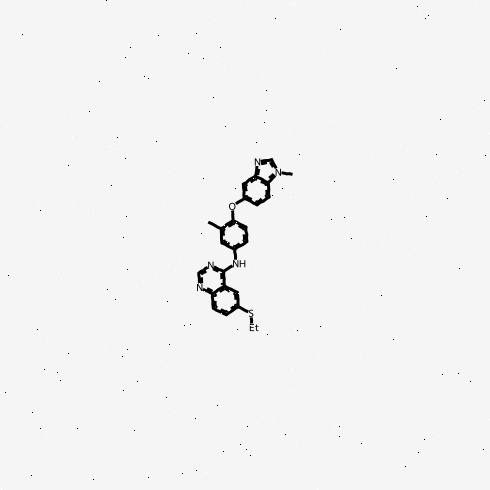 CCSc1ccc2ncnc(Nc3ccc(Oc4ccc5c(c4)ncn5C)c(C)c3)c2c1